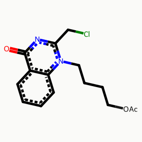 CC(=O)OCCCCn1c(CCl)nc(=O)c2ccccc21